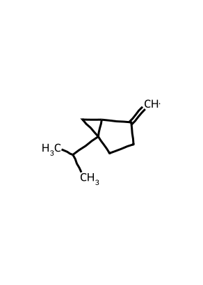 [CH]=C1CCC2(C(C)C)CC12